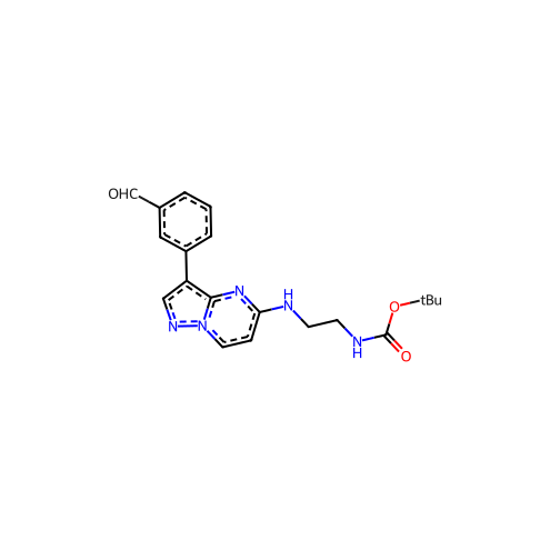 CC(C)(C)OC(=O)NCCNc1ccn2ncc(-c3cccc(C=O)c3)c2n1